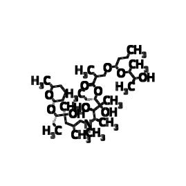 CCCC(OCC(C)C(=O)O[C@@H](CC)C(C)(O)[C@H](O)[C@@H](C)N(C)CC(C)C[C@](C)(O)[C@H](CC)O[C@H]1CCCC(C)O1)OC(C)[C@H](C)O